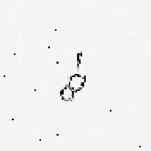 N#Cc1ncc2cccn2n1